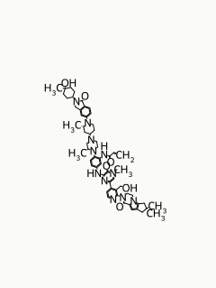 C=CC(=O)Nc1cc(Nc2nc(-c3ccnc(N4CCn5c(cc6c5CC(C)(C)C6)C4=O)c3CO)cn(C)c2=O)ccc1N1CCN(C2CCN(c3ccc4c(c3)CN(C3CCC(C)(O)CC3)C4=O)[C@@H](C)C2)C[C@@H]1C